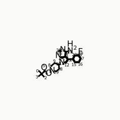 CC(C)(C)C(=O)ON1CCC(n2cc(-c3cccc(F)c3)c3c(N)ncnc32)CC1